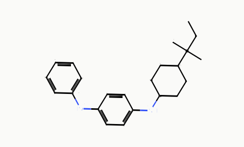 CCC(C)(C)C1CCC(Nc2ccc(Nc3ccccc3)cc2)CC1